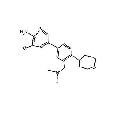 CN(C)Cc1cc(-c2cnc(N)c(Cl)n2)ccc1C1CCOCC1